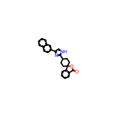 O=C1OC2(CCC(c3nc(-c4ccc5ccccc5c4)c[nH]3)CC2)c2ccccc21